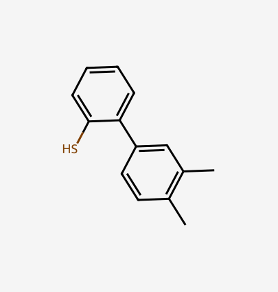 Cc1ccc(-c2ccccc2S)cc1C